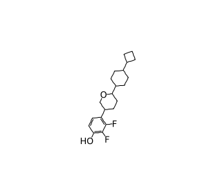 Oc1ccc(C2CCC(C3CCC(C4CCC4)CC3)OC2)c(F)c1F